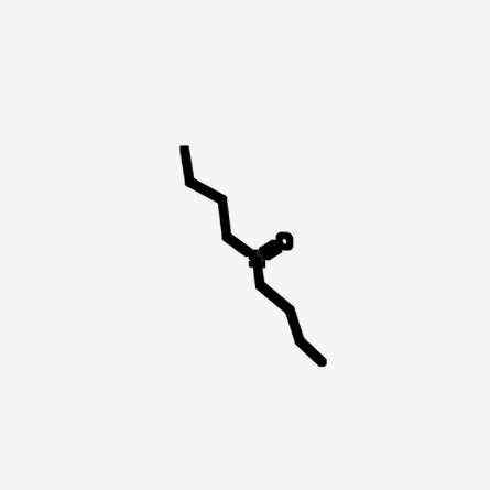 CCCC[Si](=O)CCCC